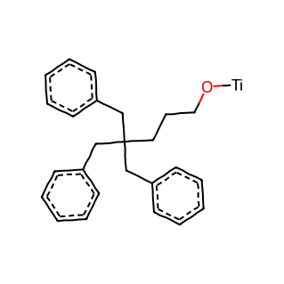 [Ti][O]CCCC(Cc1ccccc1)(Cc1ccccc1)Cc1ccccc1